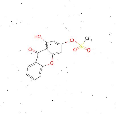 O=c1c2ccccc2oc2cc(OS(=O)(=O)C(F)(F)F)cc(O)c12